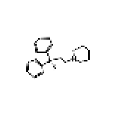 S=P(CCN1CCCCC1)(c1ccccc1)c1ccccc1